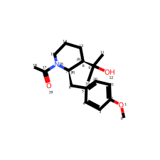 COc1ccc(C[C@@H]2[C@H](C(C)(C)O)CCCN2C(C)=O)cc1